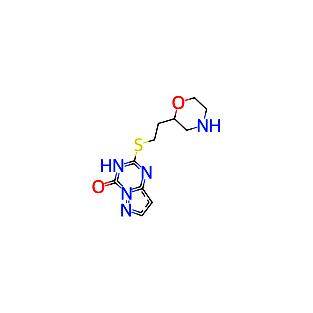 O=c1[nH]c(SCCC2CNCCO2)nc2ccnn12